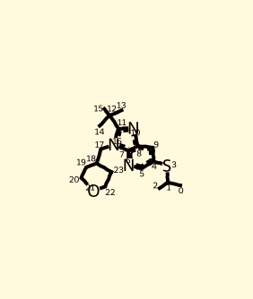 CC(C)Sc1cnc2c(c1)nc(C(C)(C)C)n2CC1CCOCC1